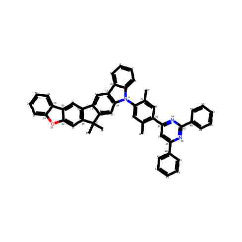 Cc1cc(-n2c3ccccc3c3cc4c(cc32)C(C)(C)c2cc3oc5ccccc5c3cc2-4)c(C)cc1-c1cc(-c2ccccc2)nc(-c2ccccc2)n1